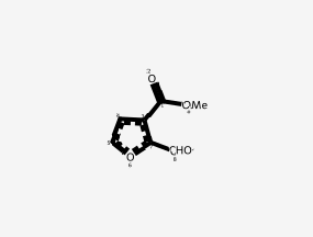 COC(=O)c1ccoc1[C]=O